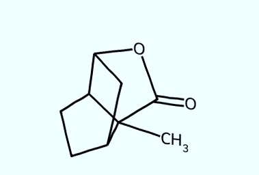 CC12C(=O)OC3CC1CCC32